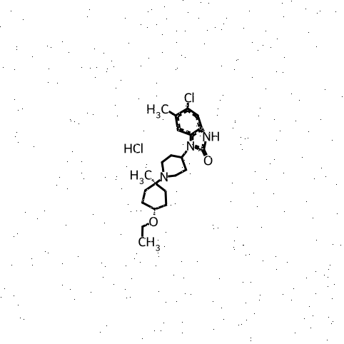 CCO[C@H]1CC[C@](C)(N2CCC(n3c(=O)[nH]c4cc(Cl)c(C)cc43)CC2)CC1.Cl